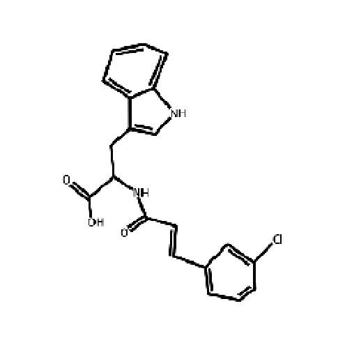 O=C(C=Cc1cccc(Cl)c1)NC(Cc1c[nH]c2ccccc12)C(=O)O